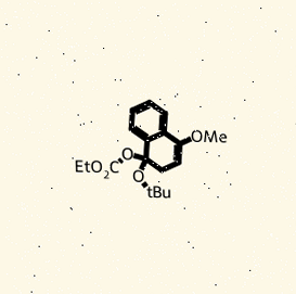 CCOC(=O)OC1(OC(C)(C)C)CC=C(OC)c2ccccc21